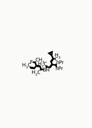 C=C(BC(=C)/C=C(\C=C/C)C(C)F)/C=C(\C=C(/C)C1CC1)C(CCC)CCC